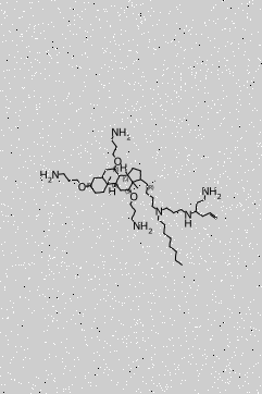 C=CCC(CCN)NCCCN(CCCCCCCC)CCC[C@@H](C)C1CC[C@H]2C3[C@H](OCCCN)CC4C[C@H](OCCCN)CCC4(C)[C@H]3C[C@H](OCCCN)C12C